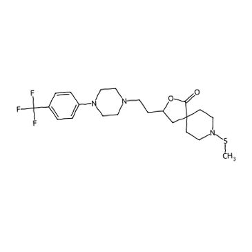 CSN1CCC2(CC1)CC(CCN1CCN(c3ccc(C(F)(F)F)cc3)CC1)OC2=O